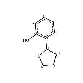 Oc1ccccc1C1SCCS1